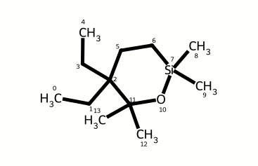 CCC1(CC)CC[Si](C)(C)OC1(C)C